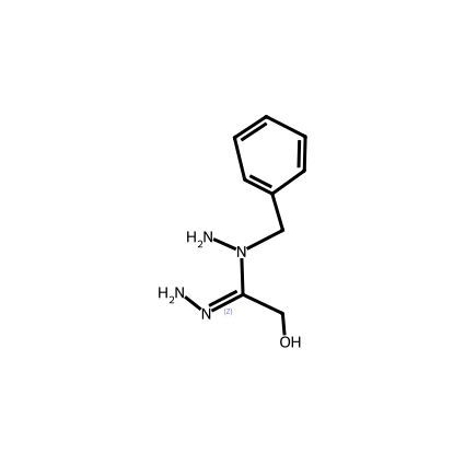 N/N=C(/CO)N(N)Cc1ccccc1